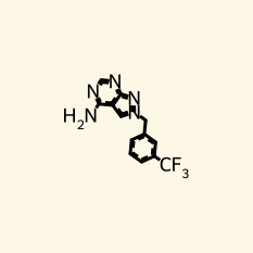 Nc1ncnc2nn(Cc3cccc(C(F)(F)F)c3)cc12